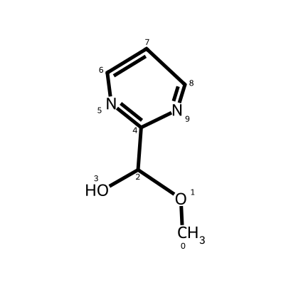 COC(O)c1ncccn1